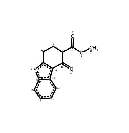 COC(=O)C1CCc2sc3ccccc3c2C1=O